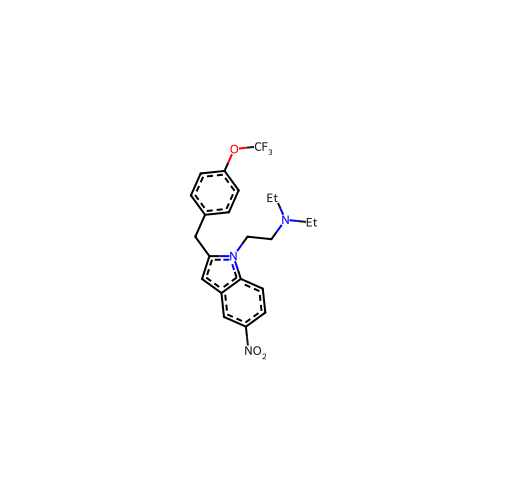 CCN(CC)CCn1c(Cc2ccc(OC(F)(F)F)cc2)cc2cc([N+](=O)[O-])ccc21